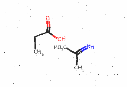 CC(=N)C(=O)O.CCC(=O)O